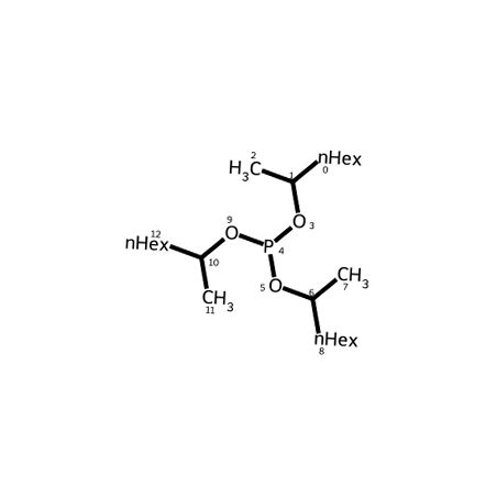 CCCCCCC(C)OP(OC(C)CCCCCC)OC(C)CCCCCC